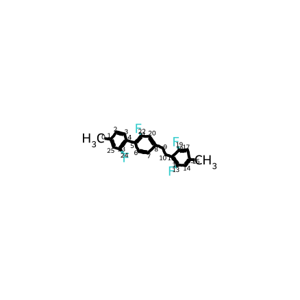 Cc1ccc(-c2ccc(CCc3c(F)cc(C)cc3F)cc2F)c(F)c1